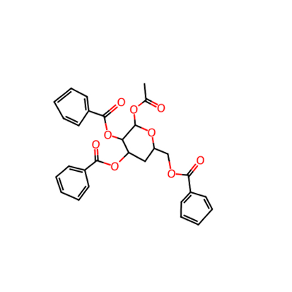 CC(=O)OC1OC(COC(=O)c2ccccc2)CC(OC(=O)c2ccccc2)C1OC(=O)c1ccccc1